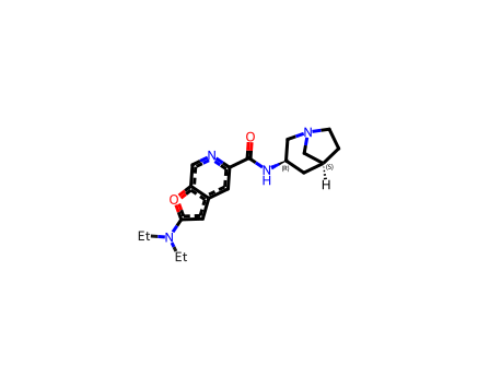 CCN(CC)c1cc2cc(C(=O)N[C@@H]3C[C@@H]4CCN(C4)C3)ncc2o1